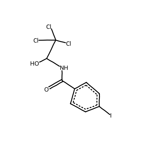 O=C(NC(O)C(Cl)(Cl)Cl)c1ccc(I)cc1